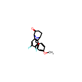 COc1ccc(CN2C3CCC(=O)C2c2cc(F)c(F)cc23)cc1